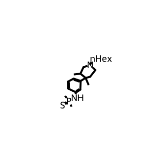 CCCCCCN1CCC(C)(c2cccc(NP(C)(C)=S)c2)C(C)C1